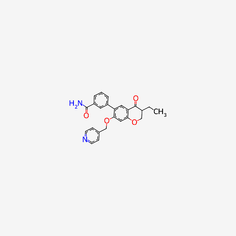 CCC1COc2cc(OCc3ccncc3)c(-c3cccc(C(N)=O)c3)cc2C1=O